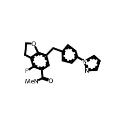 CNC(=O)c1cc(Cc2ccc(-n3cccn3)cc2)c2c(c1F)CCO2